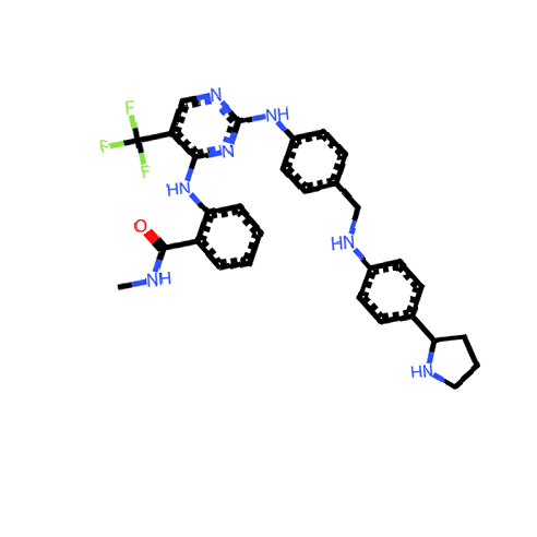 CNC(=O)c1ccccc1Nc1nc(Nc2ccc(CNc3ccc(C4CCCN4)cc3)cc2)ncc1C(F)(F)F